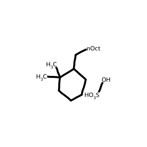 CCCCCCCCCC1CCCCC1(C)C.O=S(=O)(O)O